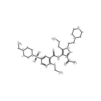 CCCc1c(NC(=O)c2cc(S(=O)(=O)N3CCN(CC)CC3)cnc2OCC)c(C(N)=O)nn1CCN1CCOCC1